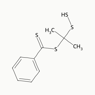 CC(C)(SS)SC(=S)c1ccccc1